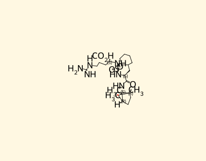 CC1(C)[C@@H]2CC[C@@]1(C)[C@@H](NC(=O)[C@H](CC1CCCCC1)NS(=O)(=O)N[C@@H](CCCNC(=N)N)C(=O)O)C2